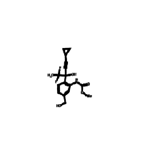 CC(C)(C)OC(=O)Nc1cc(CO)ccc1C(O)(C#CC1CC1)C(C)(F)F